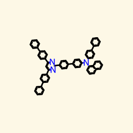 c1ccc(-c2ccc(-c3cc(-c4ccc(-c5ccccc5)cc4)nc(-c4ccc(-c5ccc(N(c6ccc(-c7ccccc7)cc6)c6cccc7ccccc67)cc5)cc4)n3)cc2)cc1